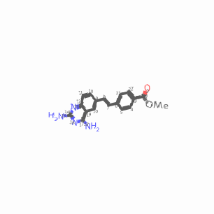 COC(=O)c1ccc(C=Cc2ccc3nc(N)nc(N)c3c2)cc1